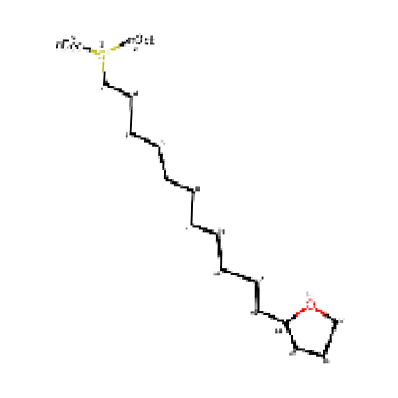 CCCCCCCCCC[S+](CCCCCCCC)CCCCCCCCCCCC1CCCO1